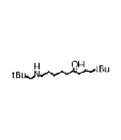 CC(C)(C)CCC[C@@H](O)CCCCCNCC(C)(C)C